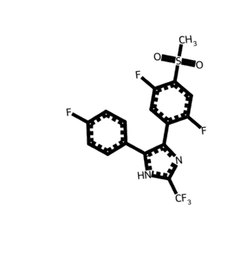 CS(=O)(=O)c1cc(F)c(-c2nc(C(F)(F)F)[nH]c2-c2ccc(F)cc2)cc1F